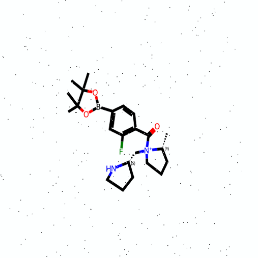 C[C@@H]1CCC[N+]1(C[C@@H]1CCCN1)C(=O)c1ccc(B2OC(C)(C)C(C)(C)O2)cc1F